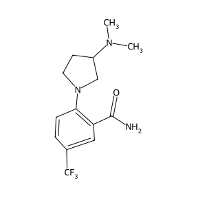 CN(C)C1CCN(c2ccc(C(F)(F)F)cc2C(N)=O)C1